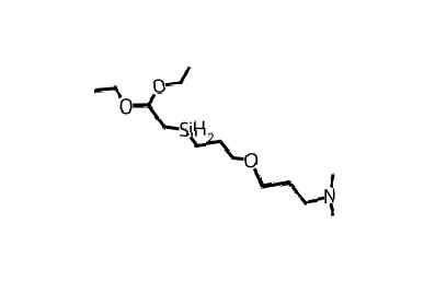 CCOC(C[SiH2]CCCOCCCN(C)C)OCC